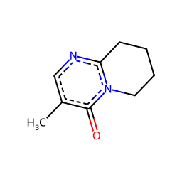 Cc1cnc2n(c1=O)CCCC2